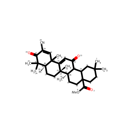 COC(=O)C12CCC(C)(C)CC1C1C(=O)C=C3C4(C)C=C(C#N)C(=O)C(C)(C)[C@@H]4CC[C@@]3(C)[C@]1(C)CC2